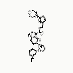 O=C(C=Cc1cccc(N2CCOCC2)n1)c1cnc2ccc(N3CCC[C@@H]3c3cccc(F)c3)nn12